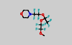 COC(F)(F)C(F)(F)OC(F)(OC(F)(F)C(F)(F)N1CCOCC1)C(F)(F)F